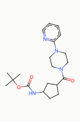 CC(C)(C)OC(=O)NC1CCC(C(=O)N2CCN(c3ccccn3)CC2)C1